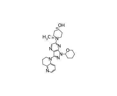 C[C@@H]1C[C@H](O)CCN1c1cnc2c(N3CCCc4ncccc43)nn(C3CCCCO3)c2n1